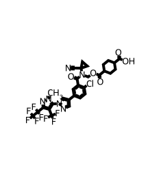 Cn1nc(C(F)(F)C(F)(F)F)c(C(F)(F)F)c1-n1cc(-c2ccc(Cl)c(C(=O)N(COC(=O)C3CCC(C(=O)O)CC3)C3(C#N)CC3)c2)cn1